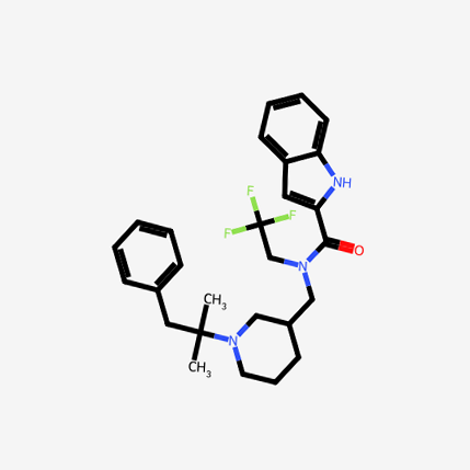 CC(C)(Cc1ccccc1)N1CCCC(CN(CC(F)(F)F)C(=O)c2cc3ccccc3[nH]2)C1